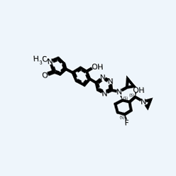 Cn1ccc(-c2ccc(-c3cnc(N(C4CC4)[C@H]4CC[C@H](F)CC4[C@H](O)N4CC4)nn3)c(O)c2)cc1=O